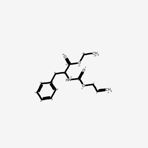 C=CCOC(=O)NC(Cc1ccccc1)C(=O)OCC